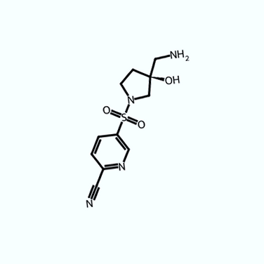 N#Cc1ccc(S(=O)(=O)N2CC[C@](O)(CN)C2)cn1